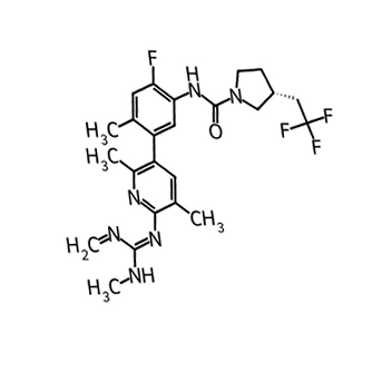 C=N/C(=N\c1nc(C)c(-c2cc(NC(=O)N3CC[C@H](CC(F)(F)F)C3)c(F)cc2C)cc1C)NC